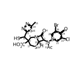 CC(=O)N(C1C(=O)N2CC(C(=O)O)(C(S)c3nnc(C)s3)CS[C@H]12)n1cc(Cl)c(=O)c(Br)c1